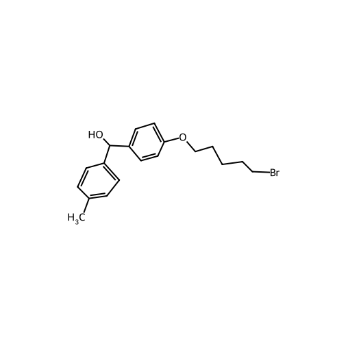 Cc1ccc(C(O)c2ccc(OCCCCCBr)cc2)cc1